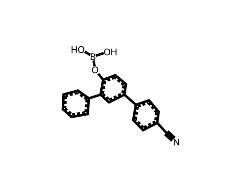 N#Cc1ccc(-c2ccc(OB(O)O)c(-c3ccccc3)c2)cc1